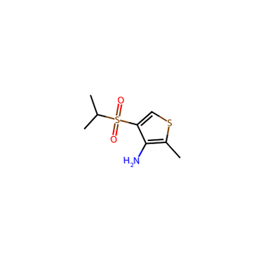 Cc1scc(S(=O)(=O)C(C)C)c1N